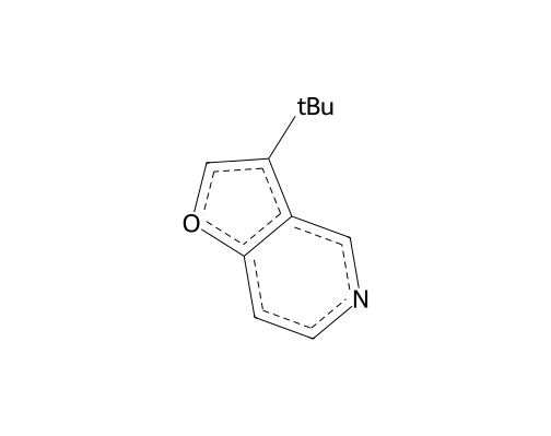 CC(C)(C)c1coc2ccncc12